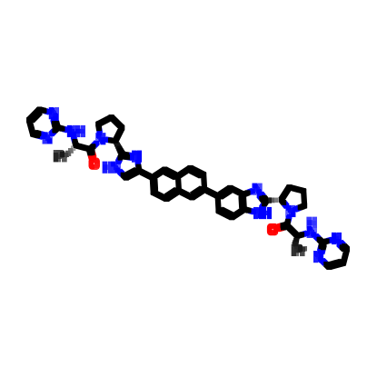 CC(C)[C@H](Nc1ncccn1)C(=O)N1CCC[C@H]1c1nc(-c2ccc3cc(-c4ccc5[nH]c([C@@H]6CCCN6C(=O)[C@@H](Nc6ncccn6)C(C)C)nc5c4)ccc3c2)c[nH]1